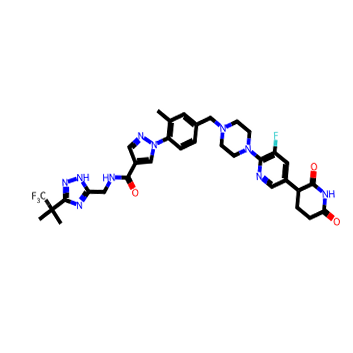 Cc1cc(CN2CCN(c3ncc(C4CCC(=O)NC4=O)cc3F)CC2)ccc1-n1cc(C(=O)NCc2nc(C(C)(C)C(F)(F)F)n[nH]2)cn1